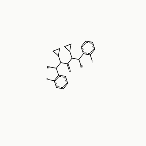 O=C(C(C1CC1)C(Br)c1ccccc1F)C(C1CC1)C(Br)c1ccccc1F